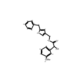 CCC(C(=O)OCc1coc(Cc2ccccc2)c1)c1cccc(OC)c1